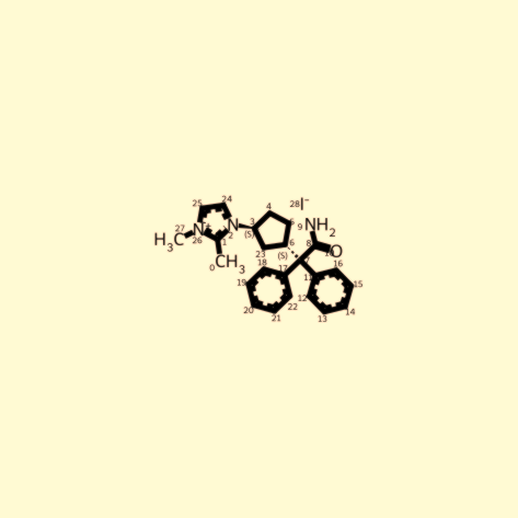 Cc1n([C@H]2CC[C@H](C(C(N)=O)(c3ccccc3)c3ccccc3)C2)cc[n+]1C.[I-]